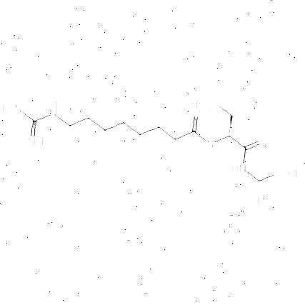 CC(C)[C@H](NC(=O)[C@H](CC(=O)O)NC(=O)CCCCCCCNC(=N)N)C(=O)O